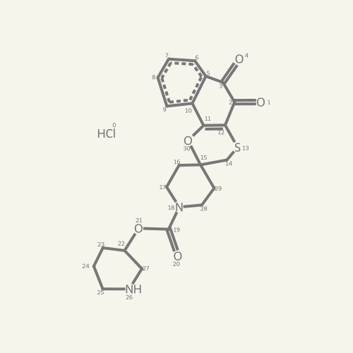 Cl.O=C1C(=O)c2ccccc2C2=C1SCC1(CCN(C(=O)OC3CCCNC3)CC1)O2